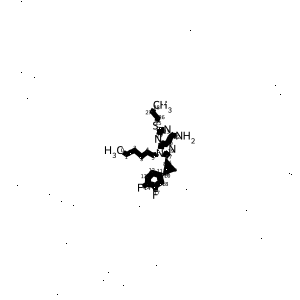 CCCCCCn1c([C@@H]2C[C@@H]2c2ccc(F)c(F)c2)nc2c(N)nc(SCCC)nc21